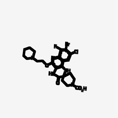 O=C(O)N1CCC2(CC1)Nc1c(c(OCCN3CCCCC3)nc3c(F)c(Br)c(Cl)cc13)NC2=O